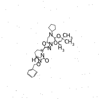 CC(C)(C)OC(=O)N(Cc1nnc([C@@H]2CC[C@@H]3CN2C(=O)N3OCc2ccccc2)o1)C1CCCC1